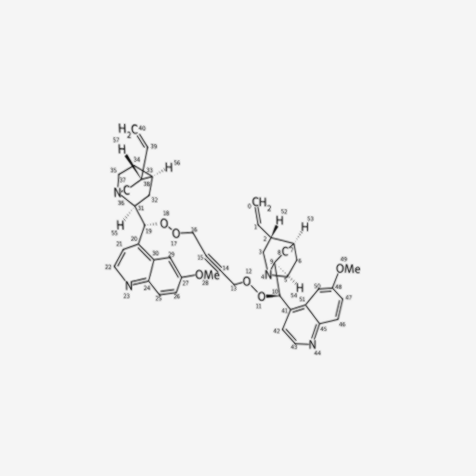 C=C[C@H]1CN2CC[C@H]1C[C@H]2[C@H](OOCC#CCOO[C@H](c1ccnc2ccc(OC)cc12)[C@@H]1C[C@@H]2CCN1C[C@@H]2C=C)c1ccnc2ccc(OC)cc12